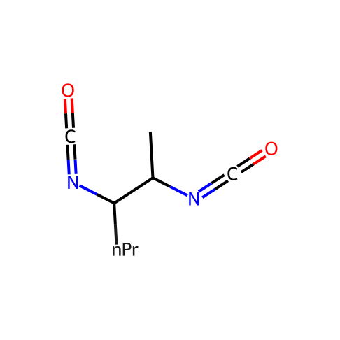 CCCC(N=C=O)C(C)N=C=O